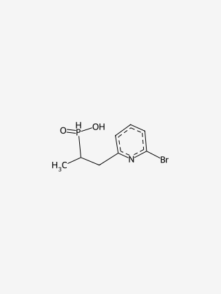 CC(Cc1cccc(Br)n1)[PH](=O)O